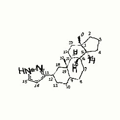 C[C@@]12CCC[C@H]1[C@@H]1CCC3CCC(c4cc[nH]n4)C[C@]3(C)[C@H]1CC2